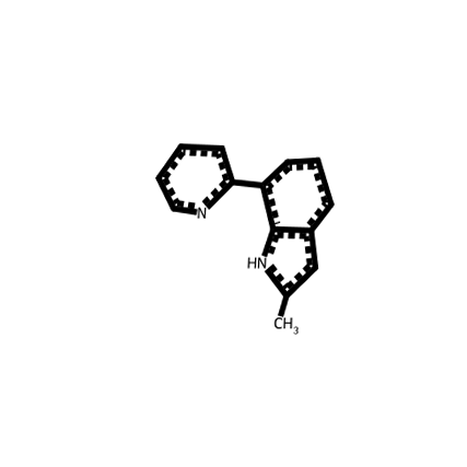 Cc1cc2cccc(-c3ccccn3)c2[nH]1